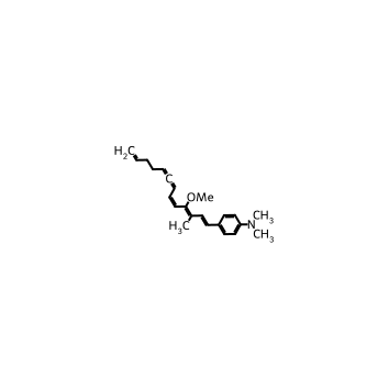 C=CCCC=C=C\C=C/C(OC)=C(C)/C=C/c1ccc(N(C)C)cc1